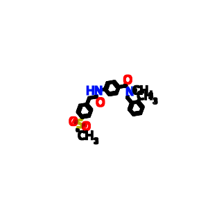 CCS(=O)(=O)c1ccc(CC(=O)Nc2ccc(C(=O)N(C)Cc3ccccc3C)cc2)cc1